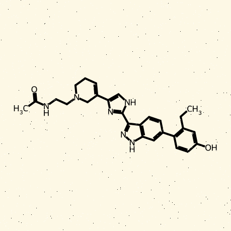 CCc1cc(O)ccc1-c1ccc2c(-c3nc(C4=CCCN(CCNC(C)=O)C4)c[nH]3)n[nH]c2c1